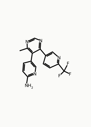 Cc1ncnc(-c2ccc(C(F)(F)F)nc2)c1-c1ccc(N)nc1